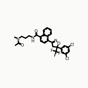 CC(=O)N(C)CCCNC(=O)c1ccc(C2=NOC(c3cc(Cl)cc(Cl)c3)(C(F)(F)F)C2)c2ccccc12